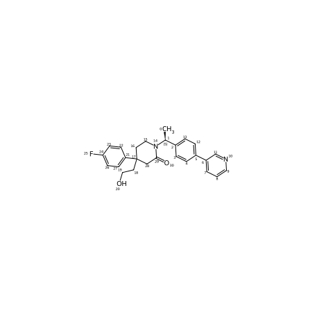 C[C@@H](c1ccc(-c2cccnc2)cc1)N1CCC(CCO)(c2ccc(F)cc2)CC1=O